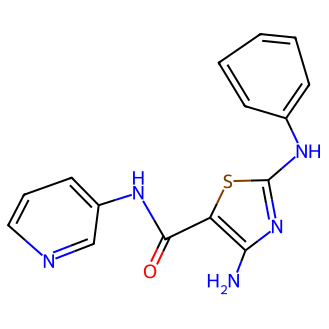 Nc1nc(Nc2ccccc2)sc1C(=O)Nc1cccnc1